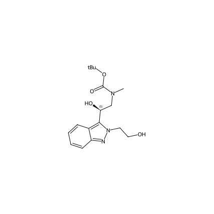 CN(C[C@H](O)c1c2ccccc2nn1CCO)C(=O)OC(C)(C)C